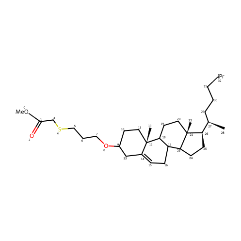 COC(=O)CSCCCOC1CC[C@@]2(C)C(=CCC3C2CC[C@@]2(C)C3CC[C@@H]2[C@H](C)CCCC(C)C)C1